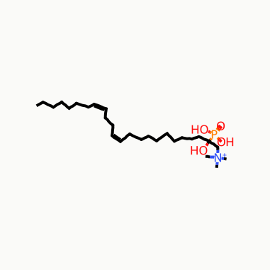 CCCCCCC/C=C\CC/C=C\CCCCCCCCCC(O)(C[N+](C)(C)C)P(=O)(O)O